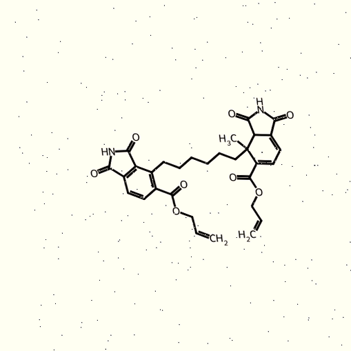 C=CCOC(=O)C1=CC=C2C(=O)NC(=O)C2C1(C)CCCCCCc1c(C(=O)OCC=C)ccc2c1C(=O)NC2=O